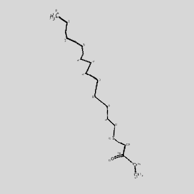 CCCCCCCCCCCCSCC(=O)OC